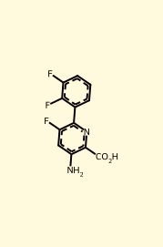 Nc1cc(F)c(-c2cccc(F)c2F)nc1C(=O)O